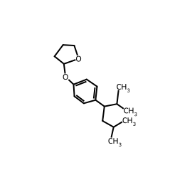 CC(C)CC(c1ccc(OC2CCCO2)cc1)C(C)C